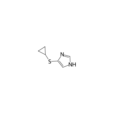 c1nc(SC2CC2)c[nH]1